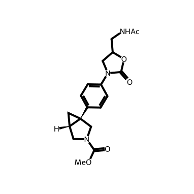 COC(=O)N1C[C@@H]2C[C@]2(c2ccc(N3CC(CNC(C)=O)OC3=O)cc2)C1